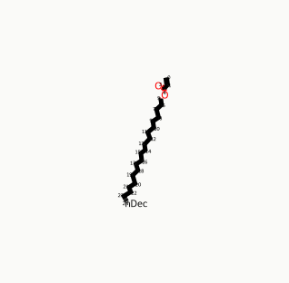 C=CC(=O)OCCCCCCCCCCCCCCCCCCCCCCCCCCCCC